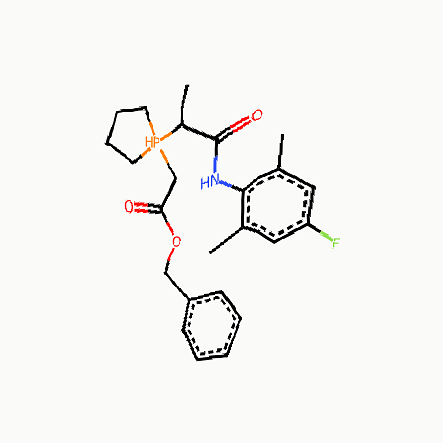 Cc1cc(F)cc(C)c1NC(=O)C(C)[PH]1(CC(=O)OCc2ccccc2)CCCC1